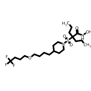 CCCC(CCC)(C(=O)NO)S(=O)(=O)N1CCC(CCCCOCCCC(F)(F)F)CC1